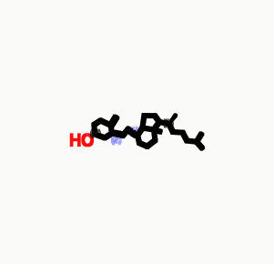 C=C1CC[C@@H](O)C/C1=C/C=C1\CCCC2(C)C1CCC2[C@@H](C)CCCC(C)C